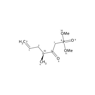 C=CC[C@H](C)C(=O)CP(=O)(OC)OC